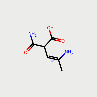 C/C(N)=C/C(C(N)=O)C(=O)O